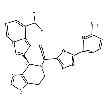 Cc1cccc(-c2nnc(C(=O)N3CCc4[nH]cnc4[C@H]3c3cc4c(C(F)F)cccn4n3)o2)n1